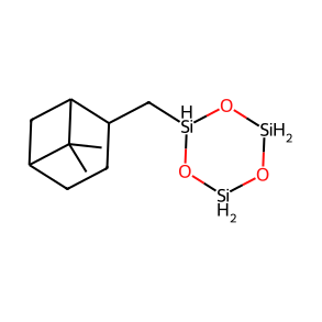 CC1(C)C2CCC(C[SiH]3O[SiH2]O[SiH2]O3)C1C2